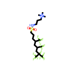 C[N+](C)(C)CCCNS(=O)(=O)CCCC(CC(CC(F)(C(F)(F)F)C(F)(F)F)C(F)(F)F)C(F)(F)F